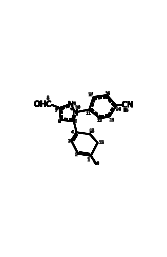 CC1=CC=C(c2cc(C=O)nn2-c2ccc(C#N)cc2)CC1